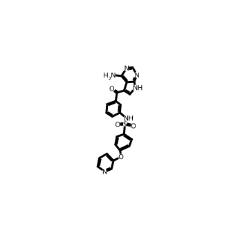 Nc1ncnc2[nH]cc(C(=O)c3cccc(NS(=O)(=O)c4ccc(Oc5cccnc5)cc4)c3)c12